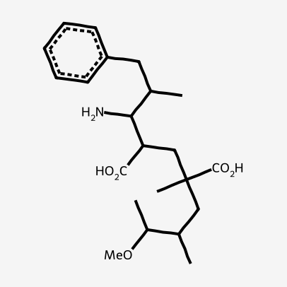 COC(C)C(C)CC(C)(CC(C(=O)O)C(N)C(C)Cc1ccccc1)C(=O)O